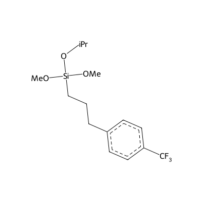 CO[Si](CCCc1ccc(C(F)(F)F)cc1)(OC)OC(C)C